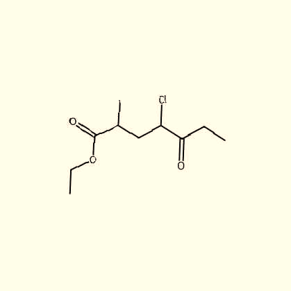 CCOC(=O)C(C)CC(Cl)C(=O)CC